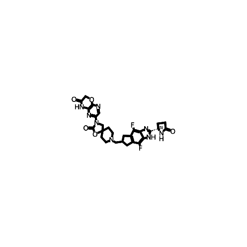 O=C1COc2ncc(N3CC4(CCN(CC5Cc6c(c(F)c7[nH]c([C@@H]8CCC(=O)N8)nc7c6F)C5)CC4)OC3=O)nc2N1